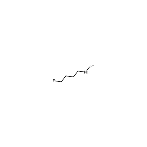 CC(C)NCCCCF